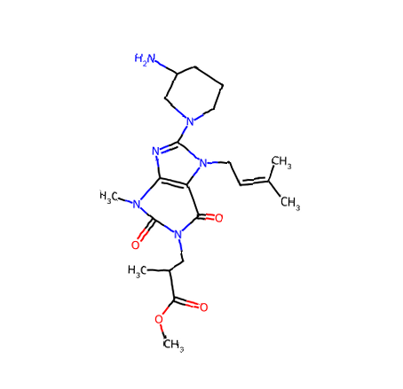 COC(=O)C(C)Cn1c(=O)c2c(nc(N3CCCC(N)C3)n2CC=C(C)C)n(C)c1=O